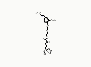 CCO[Si](CCCNC(=O)OCCCCCOc1ccc(/C=C/C(=O)O)cc1OC)(OCC)OCC